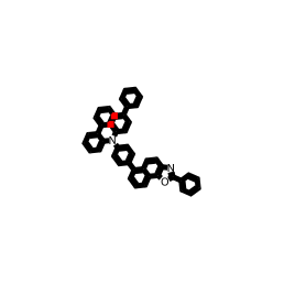 c1ccc(-c2ccc(N(c3ccc(-c4cccc5c4ccc4nc(-c6ccccc6)oc45)cc3)c3ccccc3-c3ccccc3)cc2)cc1